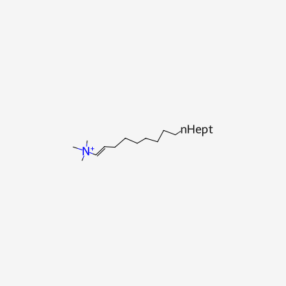 CCCCCCCCCCCCCCC=C[N+](C)(C)C